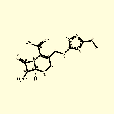 CSc1nsc(SCC2=C(C(=O)O)N3C(=O)C(N)[C@@H]3SC2)n1